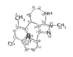 Cc1cc(Cl)cnc1C1SCCNc2c1c(-c1ccccn1)nn2C